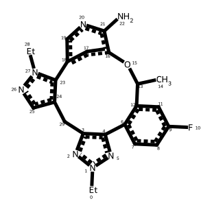 CCn1nc2c(n1)-c1ccc(F)cc1C(C)Oc1cc(cnc1N)-c1c(cnn1CC)C2